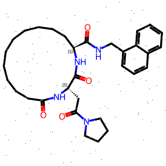 O=C1CCCCCCCCCC[C@@H](C(=O)NCc2cccc3ccccc23)NC(=O)[C@H](CC(=O)N2CCCC2)N1